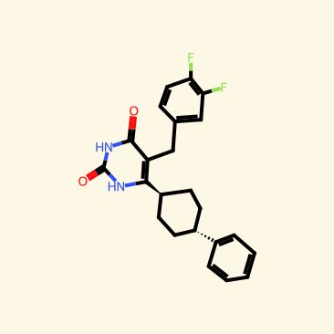 O=c1[nH]c(=O)c(Cc2ccc(F)c(F)c2)c([C@H]2CC[C@H](c3ccccc3)CC2)[nH]1